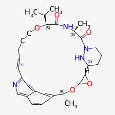 CC(C)[C@@H]1OCCC/C=C/c2cc3cc(ccc3cn2)[C@@H](C)OC2OC2[C@@H]2CCCN(N2)C(=O)[C@H](C)NC1=O